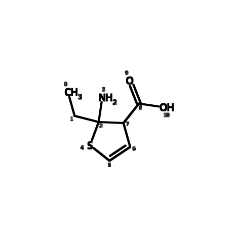 CCC1(N)SC=CC1C(=O)O